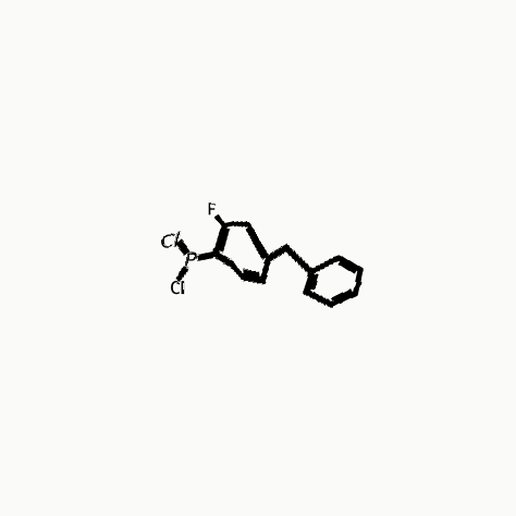 Fc1cc(Cc2ccccc2)ccc1P(Cl)Cl